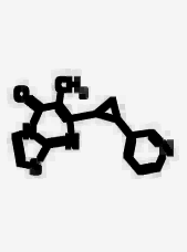 Cc1c(C2CC2c2cccnc2)nc2sccn2c1=O